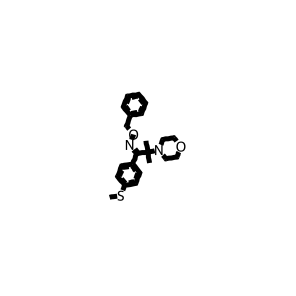 CSc1ccc(/C(=N/OCc2ccccc2)C(C)(C)N2CCOCC2)cc1